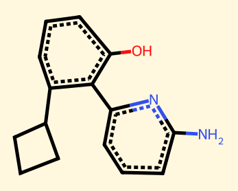 Nc1cccc(-c2c(O)cccc2C2CCC2)n1